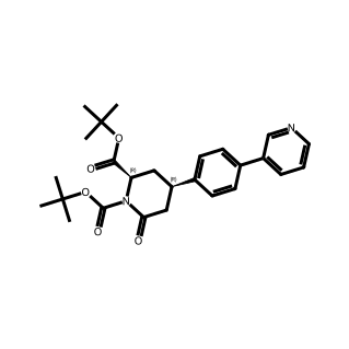 CC(C)(C)OC(=O)[C@H]1C[C@@H](c2ccc(-c3cccnc3)cc2)CC(=O)N1C(=O)OC(C)(C)C